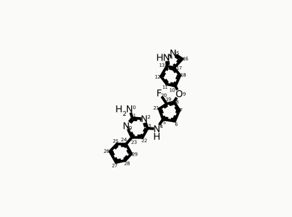 Nc1nc(Nc2ccc(Oc3ccc4[nH]ncc4c3)c(F)c2)cc(-c2ccccc2)n1